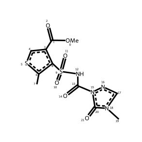 COC(=O)c1csc(C)c1S(=O)(=O)NC(=O)n1ncn(C)c1=O